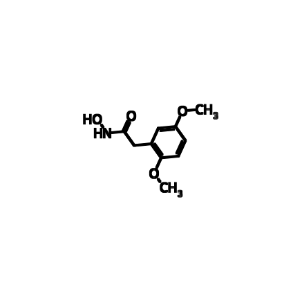 COc1ccc(OC)c(CC(=O)NO)c1